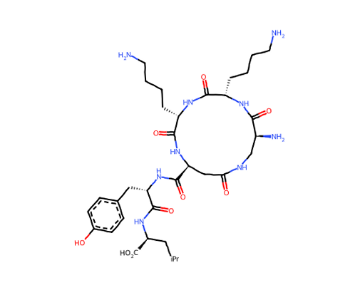 CC(C)C[C@H](NC(=O)[C@H](Cc1ccc(O)cc1)NC(=O)[C@@H]1CC(=O)NC[C@H](N)C(=O)N[C@@H](CCCCN)C(=O)N[C@@H](CCCCN)C(=O)N1)C(=O)O